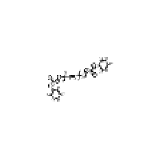 CC(C)(C#CC(C)(C)OOC(=O)Oc1ccccc1)OOC(=O)Oc1ccccc1